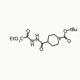 CCOC(=O)C(=O)NNC(=O)C1CCN(C(=O)OC(C)(C)C)CC1